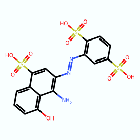 Nc1c(N=Nc2cc(S(=O)(=O)O)ccc2S(=O)(=O)O)cc(S(=O)(=O)O)c2cccc(O)c12